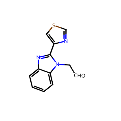 O=CCn1c(-c2cscn2)nc2ccccc21